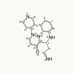 N=CCC(Nc1ccccc1)c1nn(-c2ccncc2)ccc1=O